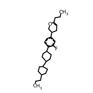 CCCC1=CCC(c2ccc(C3CCC(C4CCC(CCC)CC4)CC3)c(F)c2)CO1